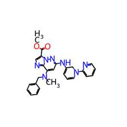 COC(=O)c1cnc2c(N(C)Cc3ccccc3)cc(NC3=CC=CN(c4ccccn4)C3)nn12